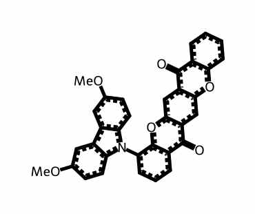 COc1ccc2c(c1)c1cc(OC)ccc1n2-c1cccc2c(=O)c3cc4oc5ccccc5c(=O)c4cc3oc12